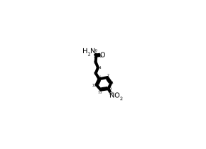 NC(=O)CCCc1ccc([N+](=O)[O-])cc1